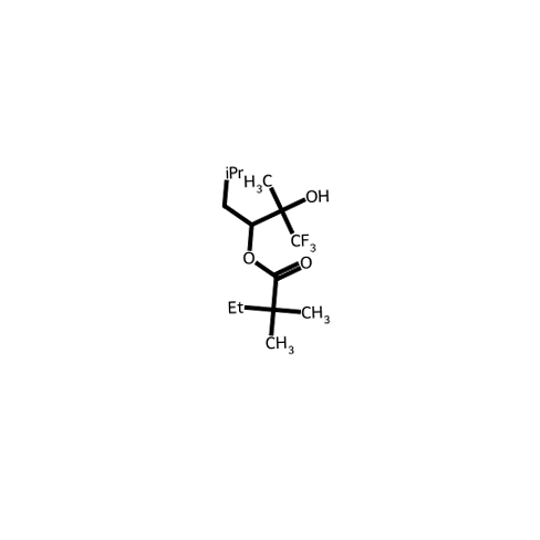 CCC(C)(C)C(=O)OC(CC(C)C)C(C)(O)C(F)(F)F